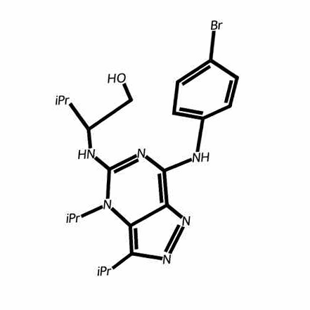 CC(C)c1nnc2c(Nc3ccc(Br)cc3)nc(NC(CO)C(C)C)n(C(C)C)c1-2